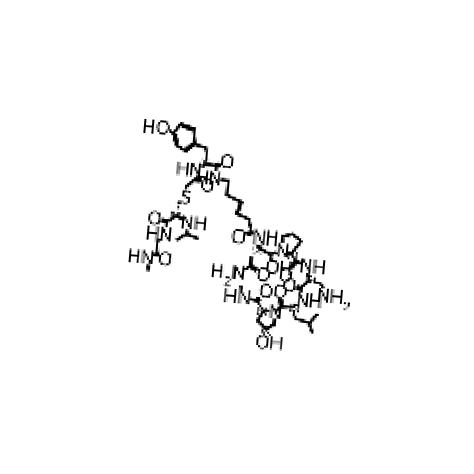 CNC(=O)CNC(=O)[C@H](CSCC(=O)N[C@@H](Cc1ccc(O)cc1)C(=O)NCCCCCC(=O)N[C@@H](CC(N)=O)C(O)N1CCC[C@H]1C(=O)N[C@@H](CN)C(=O)N[C@@H](CC(C)C)C(=O)N1C[C@H](O)C[C@H]1C(=O)NC)NC(C)C